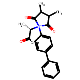 COC(=O)[C@H](C)[N+]1(c2ccc(-c3ccccc3)cc2)C(=O)C(C)C(C)C1=O